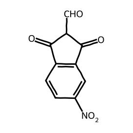 O=CC1C(=O)c2ccc([N+](=O)[O-])cc2C1=O